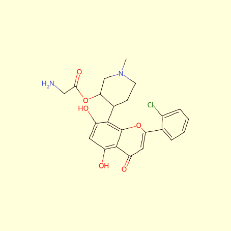 CN1CCC(c2c(O)cc(O)c3c(=O)cc(-c4ccccc4Cl)oc23)C(OC(=O)CN)C1